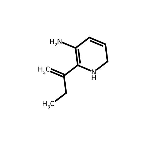 C=C(CC)C1=C(N)C=CCN1